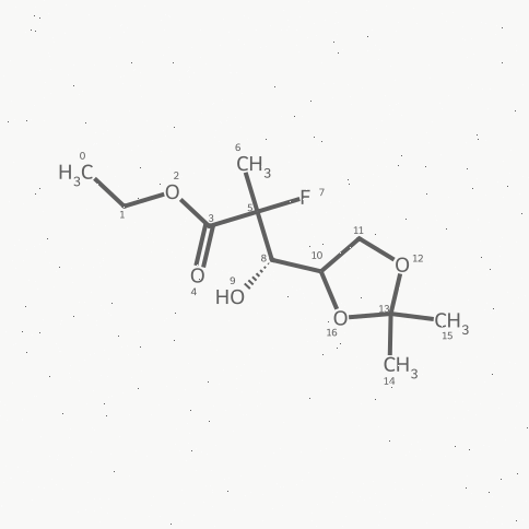 CCOC(=O)C(C)(F)[C@@H](O)C1COC(C)(C)O1